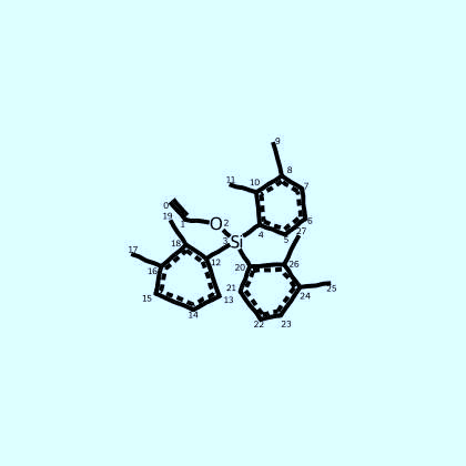 C=CO[Si](c1cccc(C)c1C)(c1cccc(C)c1C)c1cccc(C)c1C